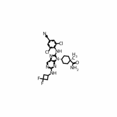 C[C@]1(C(N)=O)CC[C@H](n2c(Nc3c(Cl)cc(C#N)cc3Cl)nc3cnc(NC4CC(F)(F)C4)nc32)CC1